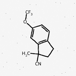 CC1(C#N)CCc2ccc(OC(F)(F)F)cc21